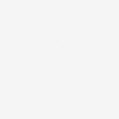 NC(CO)CCCNC(=O)O